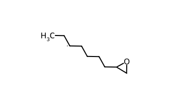 CC[CH]CCCCC1CO1